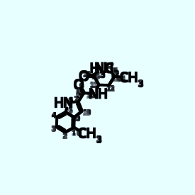 Cc1cccc2[nH]c(C(=O)NC(CC(C)C)C(N)=O)cc12